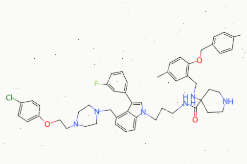 Cc1ccc(COc2ccc(C)cc2CNC2(C(=O)NCCCn3cc(-c4cccc(F)c4)c4c(CN5CCN(CCOc6ccc(Cl)cc6)CC5)cccc43)CCNCC2)cc1